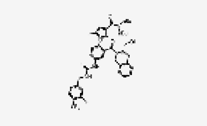 CCCCN(CCCC)C(=O)c1cc(C)n(-c2ccc(NC(=O)NCc3ccc(C(F)(F)F)c(F)c3)cc2C(=O)N2Cc3ccccc3C[C@H]2CO)n1